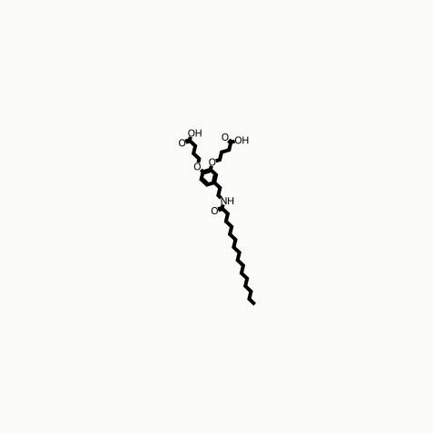 CCCCCCCCCCCCCCCC(=O)NCCc1ccc(OCCCC(=O)O)c(OCCCC(=O)O)c1